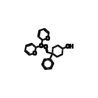 C1=COC(OC2C=CC=CO2)C=C1.O=CC1(c2ccccc2)CCC(O)CC1